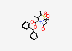 C=C1C(C)=C(C(=O)OC(c2ccccc2)c2ccccc2)N2C(=O)C[C@H]2S1(=O)=O